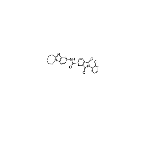 O=C(Nc1ccc2c(c1)nc1n2CCCCC1)c1ccc2c(c1)C(=O)N(c1ccccc1Cl)C2=O